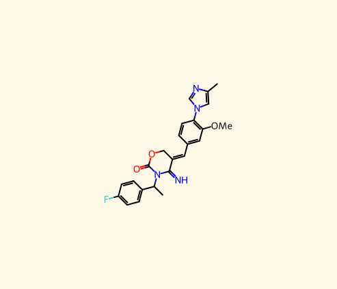 COc1cc(/C=C2\COC(=O)N(C(C)c3ccc(F)cc3)C2=N)ccc1-n1cnc(C)c1